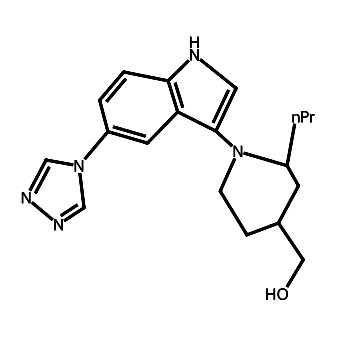 CCCC1CC(CO)CCN1c1c[nH]c2ccc(-n3cnnc3)cc12